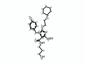 CNc1nc(OCCOC2CCCCC2)n(Cc2ccc(Cl)cc2)c1C(=O)NCCCO